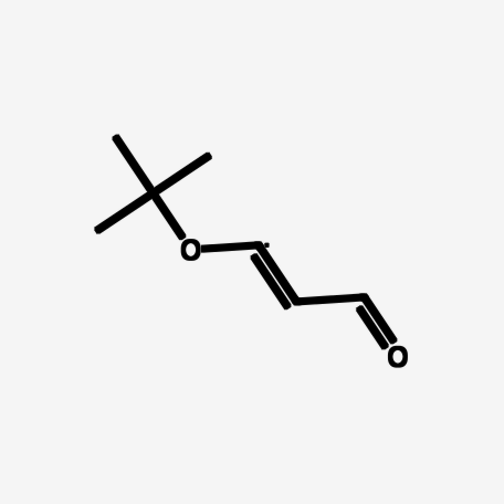 CC(C)(C)O/[C]=C/C=O